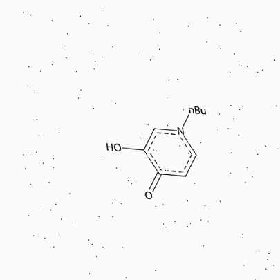 CCCCn1ccc(=O)c(O)c1